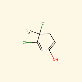 O=[N+]([O-])C1(Cl)CC=C(O)C=C1Cl